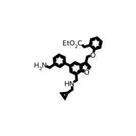 CCOC(=O)Cc1ccccc1OCc1coc2c(CNCC3CC3)cc(-c3cccc(CN)c3)cc12